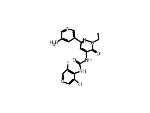 Bc1cncc(-c2cc(NC(=O)Nc3c(Cl)cncc3Cl)c(=O)n(CC)n2)c1